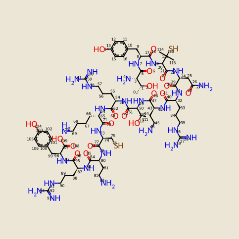 C[C@@H](O)[C@H](N)C(=O)N[C@@H](Cc1ccc(O)cc1)C(=O)N[C@H](C(=O)N[C@@H](CC(N)=O)C(=O)N[C@@H](CCCNC(=N)N)C(=O)N[C@@H](CCN)C(=O)N[C@H](C(=O)N[C@H](CCCNC(=N)N)C(=O)N[C@@H](CCCCN)C(=O)N[C@@H](CS)C(=O)N[C@@H](CCN)C(=O)N[C@@H](CCCNC(=N)N)C(=O)N[C@@H](Cc1ccc(O)cc1)C(=O)O)[C@@H](C)O)C(C)(C)S